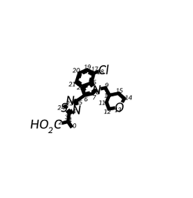 CC(C(=O)O)c1nc(-c2cn(CC3CCOCC3)c3c(Cl)cccc23)ns1